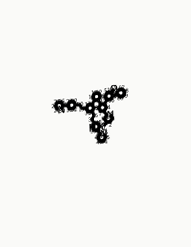 Cc1ccnc(-c2ccc(-c3ccccc3-c3cc(CCc4ccc(-c5ccccn5)cc4)cc(CCc4ccc(-c5ccccn5)cc4)c3)c(-c3ccc4oc5ccccc5c4c3)c2)c1